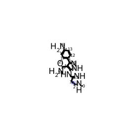 CN/C=C\C(=N)Nc1[nH]nc(-c2ccc(N)cc2)c1C(N)=O